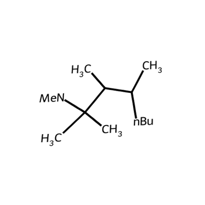 CCCCC(C)C(C)C(C)(C)NC